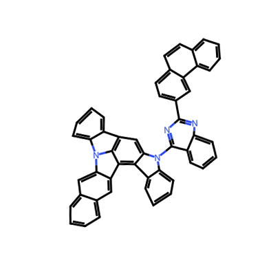 c1ccc2cc3c(cc2c1)c1c2c4ccccc4n(-c4nc(-c5ccc6ccc7ccccc7c6c5)nc5ccccc45)c2cc2c4ccccc4n3c21